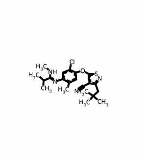 CNC(=Nc1cc(Cl)c(Oc2snc(CC(C)(C)C)c2C#N)cc1C)C(C)C